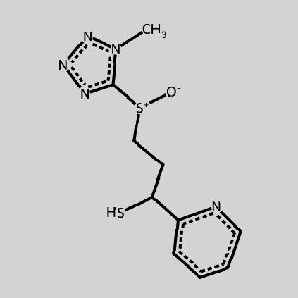 Cn1nnnc1[S+]([O-])CCC(S)c1ccccn1